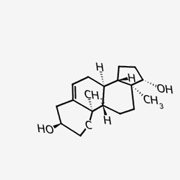 C[C@]12CC[C@H]3[C@@H](CC=C4C[C@H](O)CC[C@@]43C)[C@@H]1CC[C@@H]2O